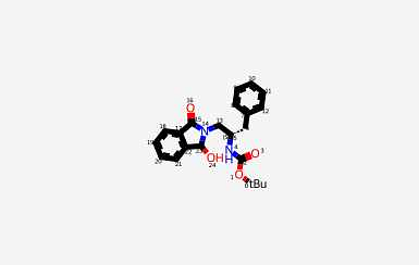 CC(C)(C)OC(=O)N[C@@H](Cc1ccccc1)CN1C(=O)c2ccccc2C1O